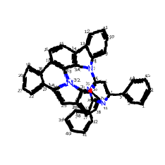 c1ccc(-c2cc(-n3c4ccccc4c4ccc5c6ccccc6c6cc7ccccc7n6c5c43)nc(-c3ccccc3)n2)cc1